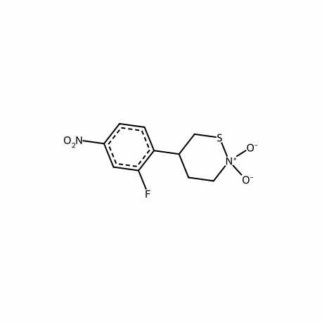 O=[N+]([O-])c1ccc(C2CC[N+]([O-])([O-])SC2)c(F)c1